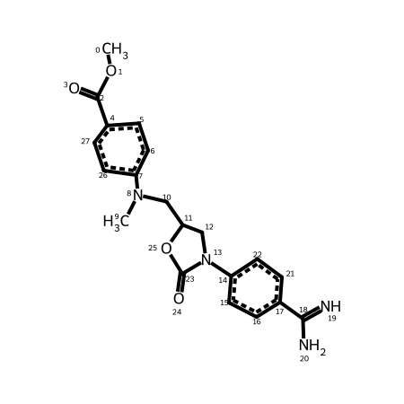 COC(=O)c1ccc(N(C)CC2CN(c3ccc(C(=N)N)cc3)C(=O)O2)cc1